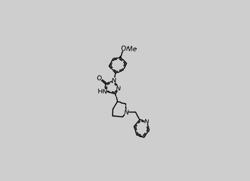 COc1ccc(-n2nc(C3CCCN(Cc4ccccn4)C3)[nH]c2=O)cc1